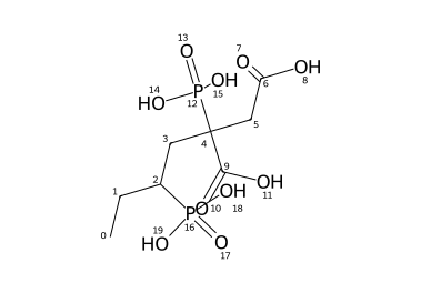 CCC(CC(CC(=O)O)(C(=O)O)P(=O)(O)O)P(=O)(O)O